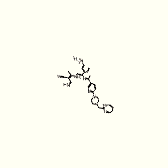 C=CC(=C\CN)/C(=C/N/C(C)=C(/C#N)C=N)/N=C(\C)c1ccc(N2CCN(CC3=NC=CCC=N3)CC2)nc1